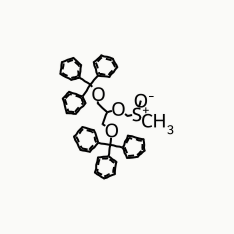 C[S+]([O-])COC(COC(c1ccccc1)(c1ccccc1)c1ccccc1)COC(c1ccccc1)(c1ccccc1)c1ccccc1